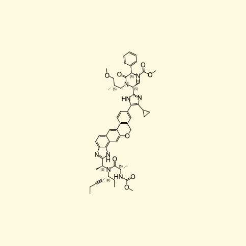 CCC#C[C@@H](CC)N(C(=O)[C@H](C)NC(=O)OC)[C@@H](C)c1nc2ccc3cc4c(cc3c2[nH]1)OCc1cc(-c2[nH]c([C@H](C)N(C[C@H](C)COC)C(=O)[C@H](NC(=O)OC)c3ccccc3)nc2C2CC2)ccc1-4